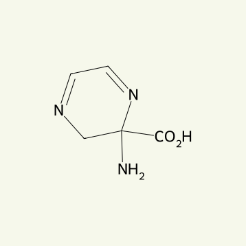 NC1(C(=O)O)CN=CC=N1